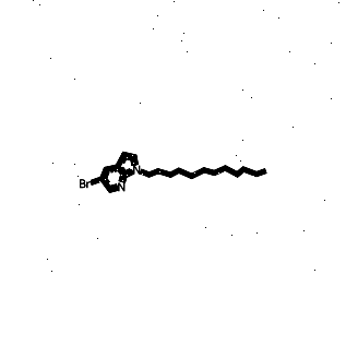 CCCCCCCCCCCCn1ccc2cc(Br)cnc21